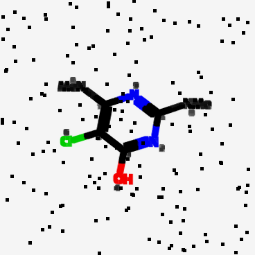 CNc1nc(O)c(Cl)c(NC)n1